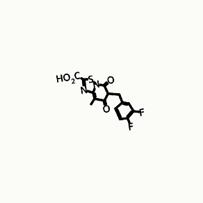 CC1=C2N=C(C(=O)O)SN2C(=O)C(Cc2ccc(F)c(F)c2)C1=O